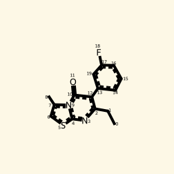 CCc1nc2scc(C)n2c(=O)c1-c1cccc(F)c1